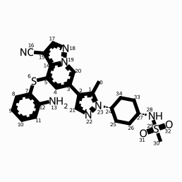 Cc1c(-c2cc(Sc3ccccc3N)c3c(C#N)cnn3c2)cnn1[C@H]1CC[C@@H](NS(C)(=O)=O)CC1